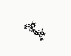 Cc1nonc1C(=O)NC(c1cn2ncc(C(COC(C)C)N3CC(F)(F)CNC3=O)cc2n1)C1CCC(F)(F)CC1